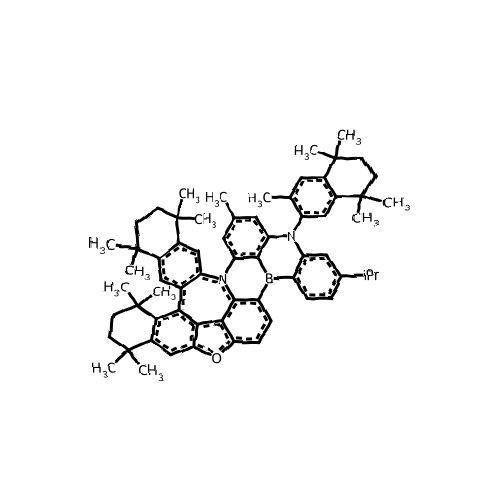 Cc1cc2c3c(c1)-n1c4cc5c(cc4c4c6c(cc7oc8ccc(c1c8c74)B3c1ccc(C(C)C)cc1N2c1cc2c(cc1C)C(C)(C)CCC2(C)C)C(C)(C)CCC6(C)C)C(C)(C)CCC5(C)C